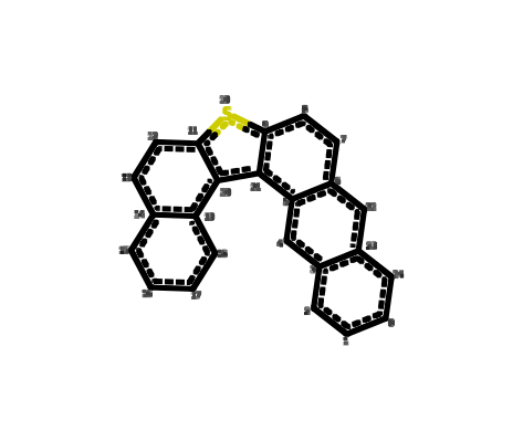 c1ccc2cc3c(ccc4sc5ccc6ccccc6c5c43)cc2c1